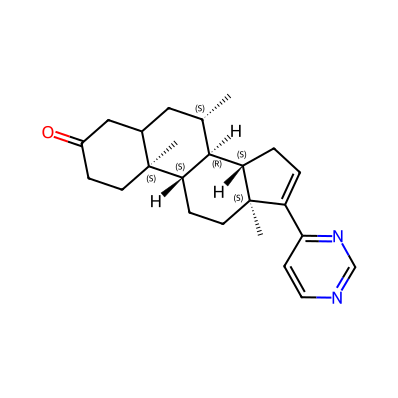 C[C@H]1CC2CC(=O)CC[C@]2(C)[C@H]2CC[C@]3(C)C(c4ccncn4)=CC[C@H]3[C@H]12